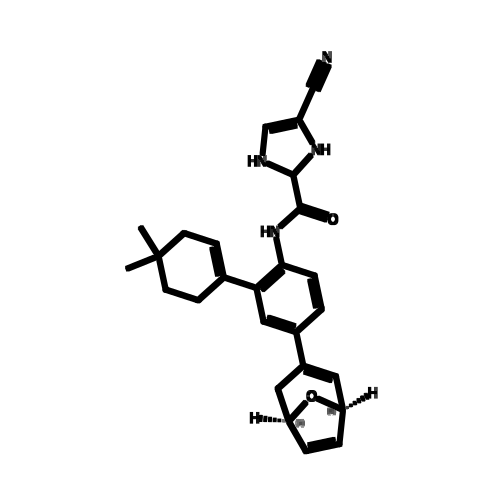 CC1(C)CC=C(c2cc(C3=C[C@H]4C=C[C@@H](C3)O4)ccc2NC(=O)C2NC=C(C#N)N2)CC1